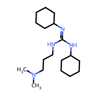 CN(C)CCCN/C(=N\C1CCCCC1)NC1CCCCC1